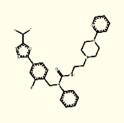 O=C(NCCN1CCN(c2ccccn2)CC1)N(Cc1ccc(-c2nnc(C(F)F)o2)cc1F)c1ccccc1